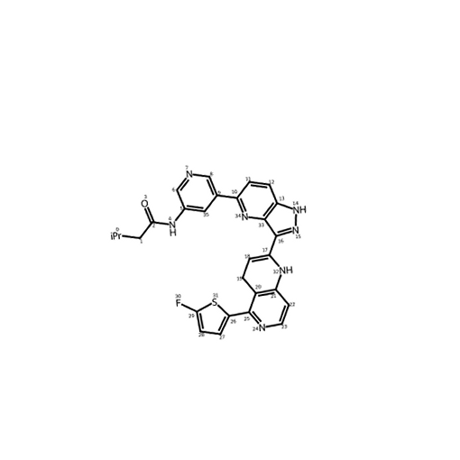 CC(C)CC(=O)Nc1cncc(-c2ccc3[nH]nc(C4=CCc5c(ccnc5-c5ccc(F)s5)N4)c3n2)c1